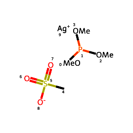 COP(OC)OC.CS(=O)(=O)[O-].[Ag+]